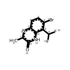 Cc1nc2ccc(Br)c(C(F)F)c2[nH]c1=O